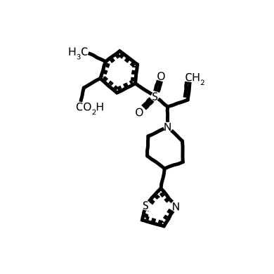 C=CC(N1CCC(c2nccs2)CC1)S(=O)(=O)c1ccc(C)c(CC(=O)O)c1